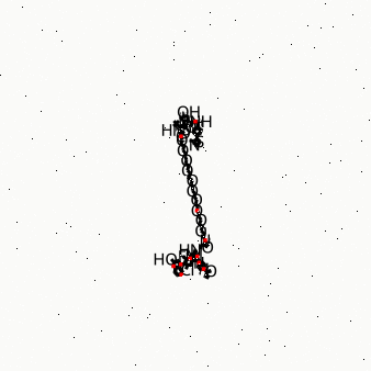 C=CC(=O)N1CCN(c2nc(NCCC(=O)N(C)CCOCCOCCOCCOCCOCCOCCOCCOCCOCCOCC(=O)N[C@H](C(=O)N3C[C@@H](O)C[C@H]3C(=O)N[C@@H](C)c3ccc(-c4scnc4C)cc3)C(C)(C)C)nc3c(F)c(-c4cc(O)cc5ccccc45)c(Cl)cc23)CC1